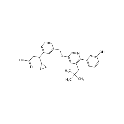 CC(C)(C)Cc1cc(OCc2cccc(C(CC(=O)O)C3CC3)c2)cnc1-c1cccc(O)c1